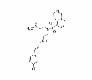 CNCCN(CCNC/C=C/c1ccc(Cl)cc1)S(=O)(=O)c1cccc2cnccc12